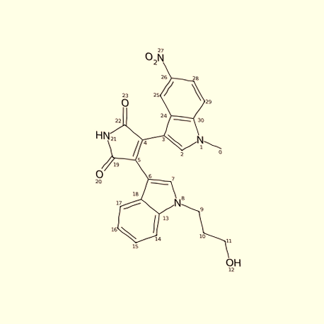 Cn1cc(C2=C(c3cn(CCCO)c4ccccc34)C(=O)NC2=O)c2cc([N+](=O)[O-])ccc21